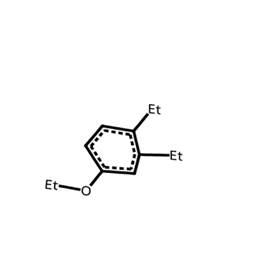 CCOc1ccc(CC)c(CC)c1